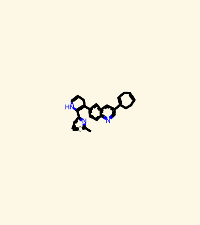 Cc1cccc(C2=C(c3ccc4ncc(C5=CCC=CCC5)cc4c3)CC=CN2)n1